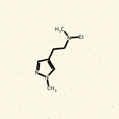 CCN(C)CCc1cnn(C)c1